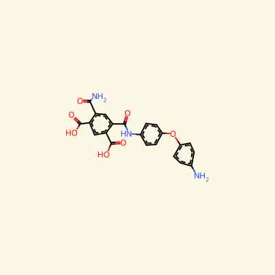 NC(=O)c1cc(C(=O)Nc2ccc(Oc3ccc(N)cc3)cc2)c(C(=O)O)cc1C(=O)O